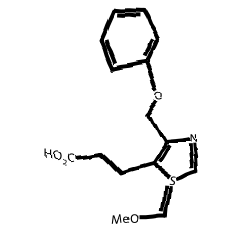 COC=S1C=NC(COc2ccccc2)=C1CCC(=O)O